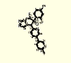 OC(c1ccc(F)cc1F)(C(F)F)C(c1ccc(-c2ccc(F)nc2)cn1)n1cnnn1